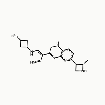 CCCC1CC(N/C=C(\C=N)C2=Nc3cc(C4CN[C@@H]4C)ccc3NC2)C1